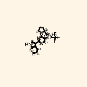 C[C@]1(C(=O)NCC(F)(F)F)CCCN1c1nc(-c2c[nH]c3ncccc23)ncc1F